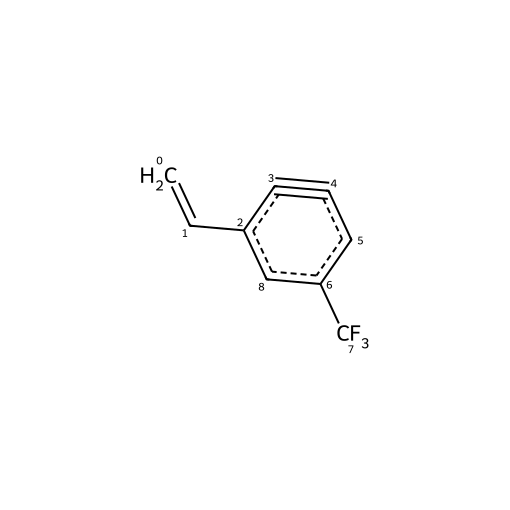 C=Cc1c#ccc(C(F)(F)F)c1